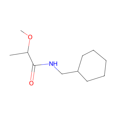 COC(C)C(=O)NCC1CCCCC1